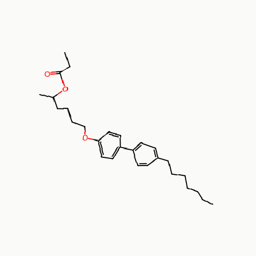 CCCCCCCc1ccc(-c2ccc(OCCCCC(C)OC(=O)CC)cc2)cc1